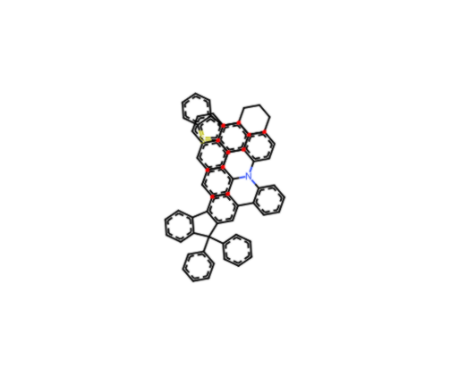 c1ccc(C2(c3ccccc3)c3ccccc3-c3ccc(-c4ccccc4N(c4ccccc4-c4cccc5c4sc4ccccc45)c4ccccc4-c4cccc5cccc(C6CCCCC6)c45)cc32)cc1